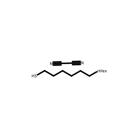 CCCCCCCCCCCCS.N#CC#N